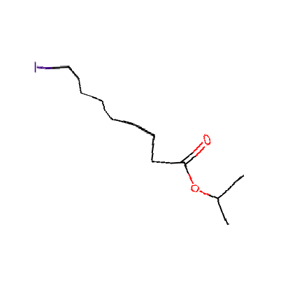 CC(C)OC(=O)CCCCCCI